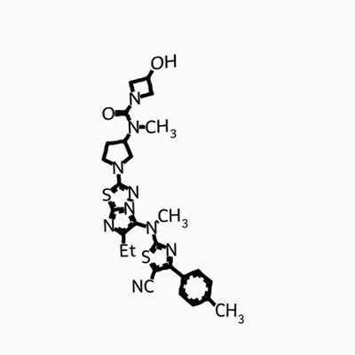 CCc1nc2sc(N3CCC(N(C)C(=O)N4CC(O)C4)C3)nn2c1N(C)c1nc(-c2ccc(C)cc2)c(C#N)s1